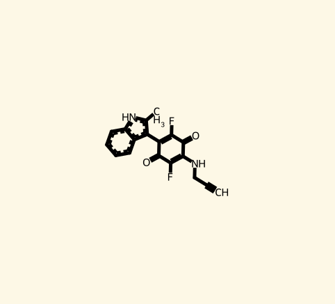 C#CCNC1=C(F)C(=O)C(c2c(C)[nH]c3ccccc23)=C(F)C1=O